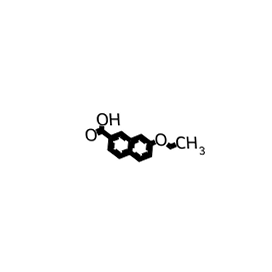 CCOc1ccc2ccc(C(=O)O)cc2c1